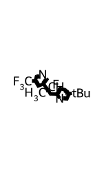 CC(C)(C)c1cnc(CC(C)(C)c2cncc(C(F)(F)F)c2)c(F)c1